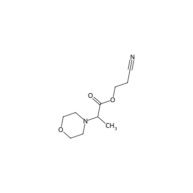 CC(C(=O)OCCC#N)N1CCOCC1